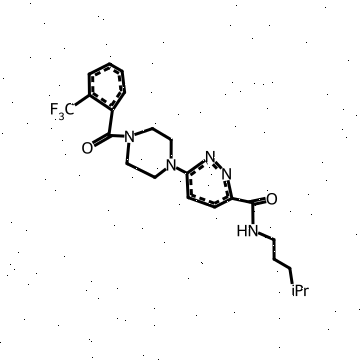 CC(C)CCCNC(=O)c1ccc(N2CCN(C(=O)c3ccccc3C(F)(F)F)CC2)nn1